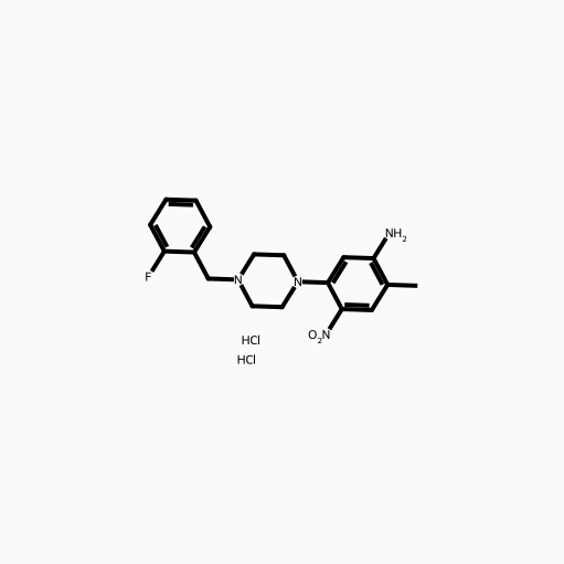 Cc1cc([N+](=O)[O-])c(N2CCN(Cc3ccccc3F)CC2)cc1N.Cl.Cl